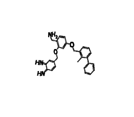 Cc1c(COc2ccc(CN)c(OCC3=CC(=N)C(=N)C=C3)c2)cccc1-c1ccccc1